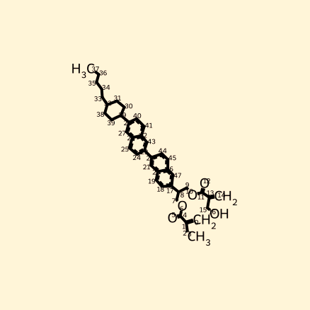 C=C(CC)C(=O)OCC(COC(=O)C(=C)CO)c1ccc2cc(-c3ccc4cc(C5CCC(CCCCC)CC5)ccc4c3)ccc2c1